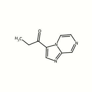 CCC(=O)c1cnc2cnccn12